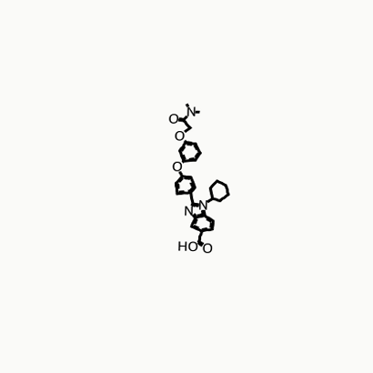 CN(C)C(=O)COc1cccc(Oc2ccc(-c3nc4cc(C(=O)O)ccc4n3C3CCCCC3)cc2)c1